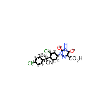 CCCCC(C#N)(c1ccc(Cl)cc1)c1ccc(-n2nc(C(=O)O)c(=O)[nH]c2=O)cc1Cl